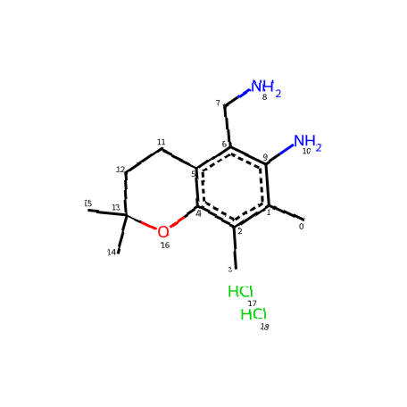 Cc1c(C)c2c(c(CN)c1N)CCC(C)(C)O2.Cl.Cl